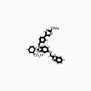 COc1ncc(-c2ccc(Cn3c([C@H]4CCCC[C@H]4C(=O)O)nc4cc(OCc5nc6ccccc6s5)ccc43)cc2)cn1